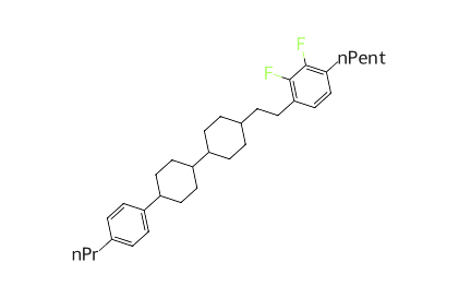 CCCCCc1ccc(CCC2CCC(C3CCC(c4ccc(CCC)cc4)CC3)CC2)c(F)c1F